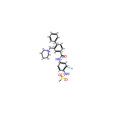 CS(=O)(=O)Nc1ccc(NC(=O)c2ccc(-c3ccccc3)c(CN3CCCCC3)c2)cc1F